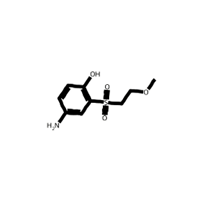 COCCS(=O)(=O)c1cc(N)ccc1O